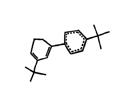 CC(C)(C)C1=CCCC(c2ccc(C(C)(C)C)cc2)=C1